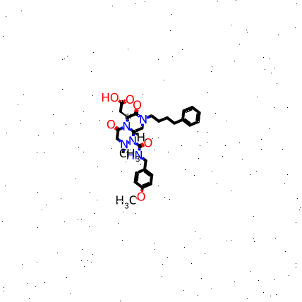 COc1ccc(CNC(=O)N2[C@H]3CN(CCCCc4ccccc4)C(=O)[C@H](CC(=O)O)N3C(=O)CN2C)cc1